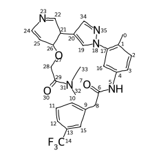 Cc1ccc(NC(=O)Cc2cccc(C(F)(F)F)c2)cc1-n1cc(C2C=NC=CC2OCC(=O)N(C)C)cn1